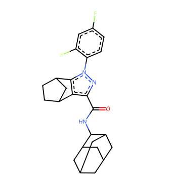 O=C(NC1C2CC3CC(C2)CC1C3)c1nn(-c2ccc(F)cc2F)c2c1C1CCC2C1